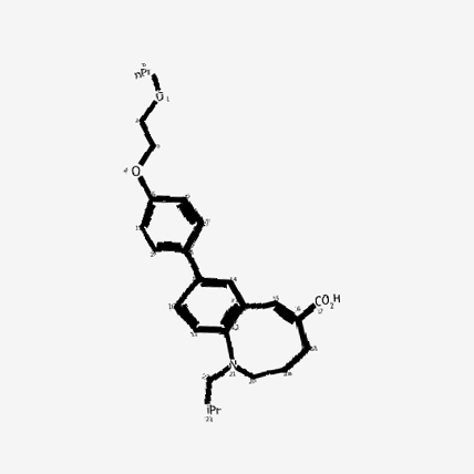 CCCOCCOc1ccc(-c2ccc3c(c2)C=C(C(=O)O)CCCN3CC(C)C)cc1